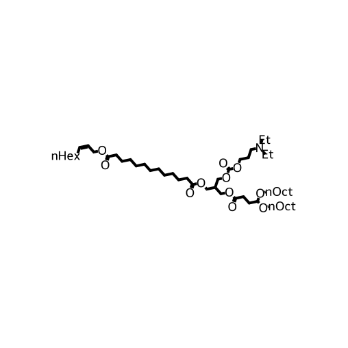 CCCCCC/C=C\COC(=O)CCCCCCCCCCCC(=O)OCC(COC(=O)CCC(OCCCCCCCC)OCCCCCCCC)COC(=O)OCCCN(CC)CC